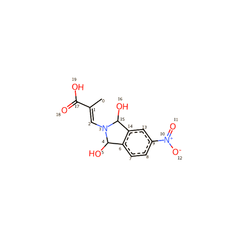 CC(=CN1C(O)c2ccc([N+](=O)[O-])cc2C1O)C(=O)O